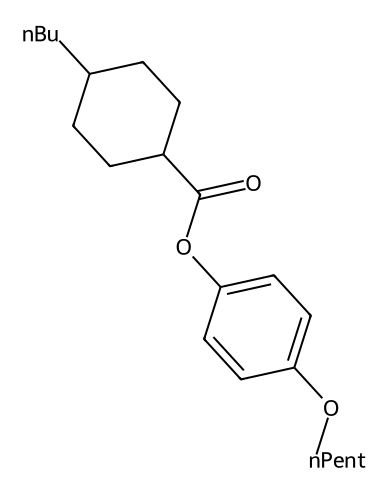 CCCCCOc1ccc(OC(=O)C2CCC(CCCC)CC2)cc1